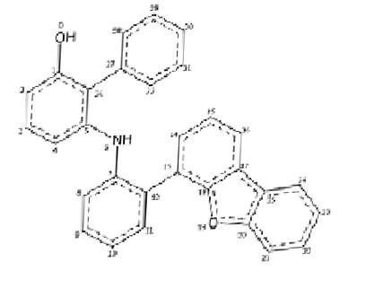 Oc1cccc(Nc2ccccc2-c2cccc3c2oc2ccccc23)c1-c1ccccc1